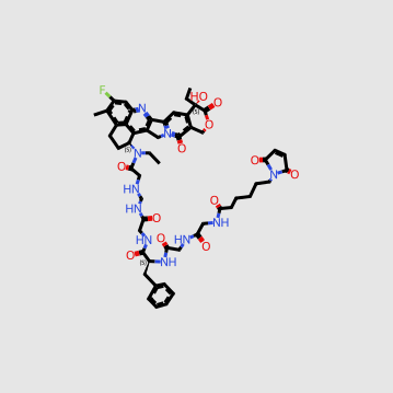 CCN(C(=O)CNCNC(=O)CNC(=O)[C@H](Cc1ccccc1)NC(=O)CNC(=O)CNC(=O)CCCCCN1C(=O)C=CC1=O)[C@H]1CCc2c(C)c(F)cc3nc4c(c1c23)Cn1c-4cc2c(c1=O)COC(=O)[C@]2(O)CC